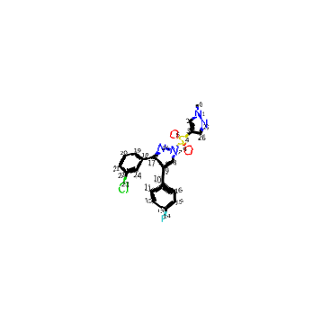 Cn1cc(S(=O)(=O)N2CC(c3ccc(F)cc3)C(c3cccc(Cl)c3)=N2)cn1